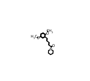 COc1ccc(OC)c(C=CC=CC(=O)N2CCCCC2)c1